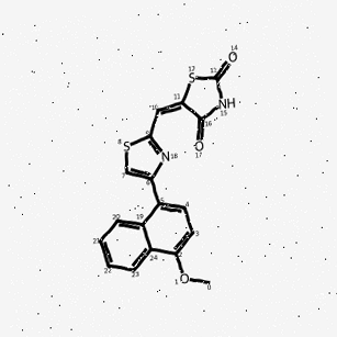 COc1ccc(-c2csc(C=C3SC(=O)NC3=O)n2)c2ccccc12